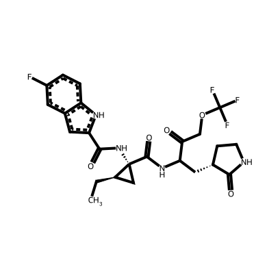 CC[C@@H]1C[C@]1(NC(=O)c1cc2cc(F)ccc2[nH]1)C(=O)NC(C[C@@H]1CCNC1=O)C(=O)COC(F)(F)F